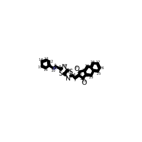 O=C1C(=Cc2nc3sc(/C=C/c4ccccc4)nc3s2)C(=O)c2cc3ccccc3cc21